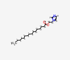 CCCCCCCCCCCCCCCC(=O)OCCn1ccnc1